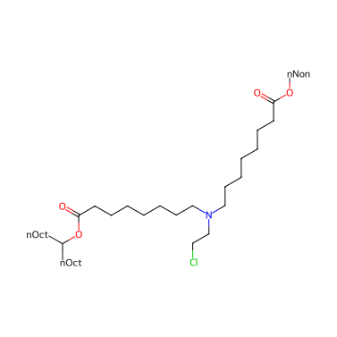 CCCCCCCCCOC(=O)CCCCCCCN(CCCl)CCCCCCCC(=O)OC(CCCCCCCC)CCCCCCCC